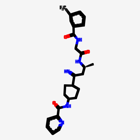 C[C@H](CC(=N)C1CCC(NC(=O)c2ccccn2)CC1)NC(=O)CNC(=O)c1cccc(C(F)(F)F)c1